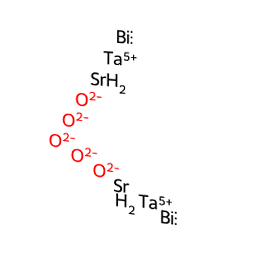 [Bi].[Bi].[O-2].[O-2].[O-2].[O-2].[O-2].[SrH2].[SrH2].[Ta+5].[Ta+5]